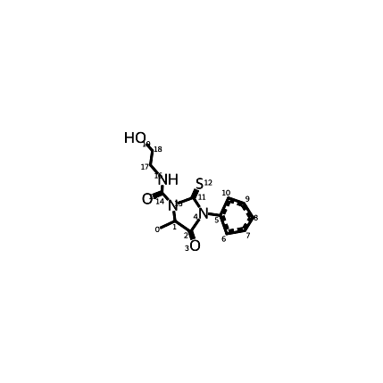 CC1C(=O)N(c2ccccc2)C(=S)N1C(=O)NCCO